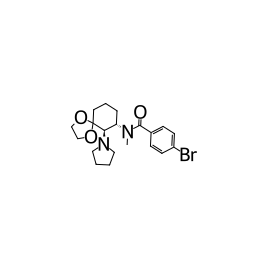 CN(C(=O)c1ccc(Br)cc1)[C@H]1CCCC2(OCCO2)[C@@H]1N1CCCC1